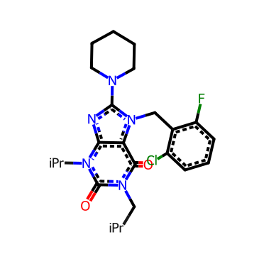 CC(C)Cn1c(=O)c2c(nc(N3CCCCC3)n2Cc2c(F)cccc2Cl)n(C(C)C)c1=O